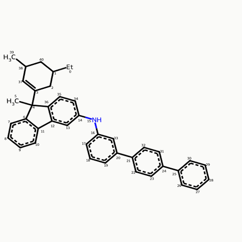 CCC1CC(C2(C)c3ccccc3-c3cc(Nc4cccc(-c5ccc(-c6ccccc6)cc5)c4)ccc32)=CC(C)C1